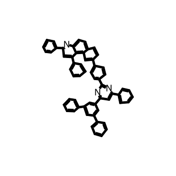 c1ccc(-c2cc(-c3ccccc3)cc(-c3cc(-c4ccccc4)nc(-c4ccc(-c5ccc6ccc7nc(-c8ccccc8)cc(-c8ccccc8)c7c6c5)cc4)n3)c2)cc1